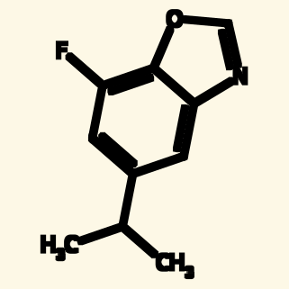 CC(C)c1cc(F)c2ocnc2c1